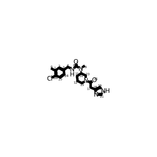 Cc1cc(CNC(=O)N(C)[C@@H]2CCCN(C(=O)Cc3c[nH]cn3)C2)ccc1Cl